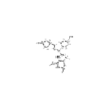 CSc1cc(C)nc(SC)c1NC(=O)C(SCc1ccc(F)cc1)c1ccc(F)cc1